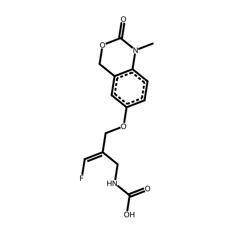 CN1C(=O)OCc2cc(OC/C(=C/F)CNC(=O)O)ccc21